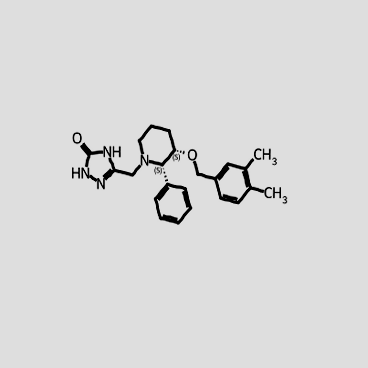 Cc1ccc(CO[C@H]2CCCN(Cc3n[nH]c(=O)[nH]3)[C@H]2c2ccccc2)cc1C